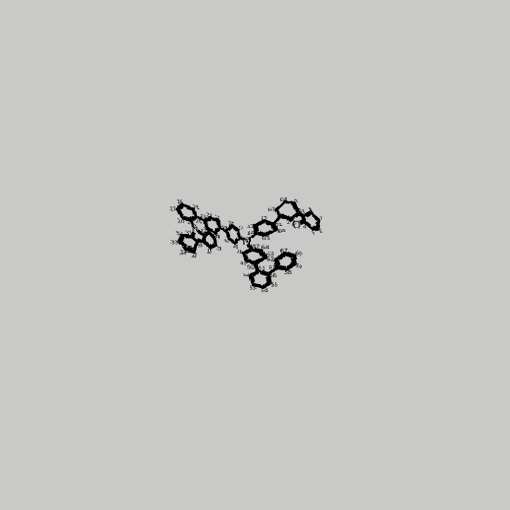 C1=c2c(oc3ccccc23)=C(c2ccc(N(c3ccc(-c4ccc(-c5ccccc5-n5c6ccccc6c6ccccc65)cc4)cc3)c3ccc(-c4ccccc4-c4ccccc4)cc3)cc2)CC1